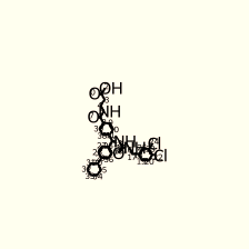 O=C(O)CCNC(=O)c1ccc(C(NC(=O)NCc2ccc(Cl)c(Cl)c2)c2ccc(C3CCCCC3)cc2)cc1